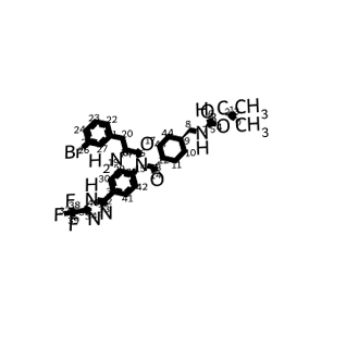 CC(C)(C)OC(=O)NC[C@H]1CC[C@H](C(=O)N(C(=O)[C@@H](N)Cc2cccc(Br)c2)c2ccc(-c3nnc(C(F)(F)F)[nH]3)cc2)CC1